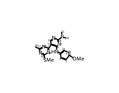 COc1ccc(Nc2nc(N(C)C)ncc2-c2nc(C)nc(SC)n2)cn1